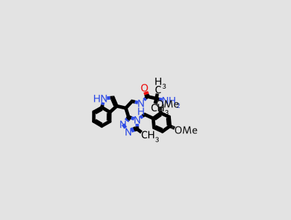 COc1ccc(Cn2c(C)nnc2C(CNC(=O)C(C)(C)N)c2c[nH]c3ccccc23)c(OC)c1